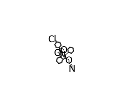 CN(C)CCOc1c(-c2ccccc2)n(S(=O)(=O)c2ccc(Cl)cc2)c2ccccc12